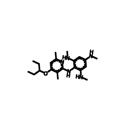 CCC(CC)Oc1cc(C)nc(Nc2c(NC)cc(NC)cc2NC)c1C